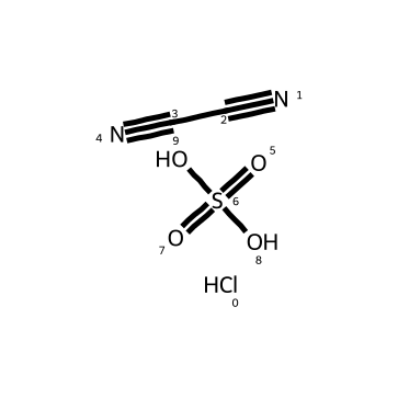 Cl.N#CC#N.O=S(=O)(O)O